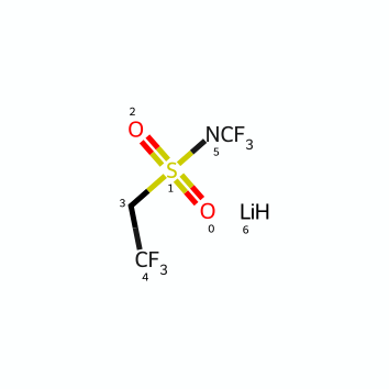 O=S(=O)(CC(F)(F)F)NC(F)(F)F.[LiH]